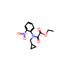 CCOC(=O)C(=O)N(CC1CC1)c1ccccc1[N+](=O)[O-]